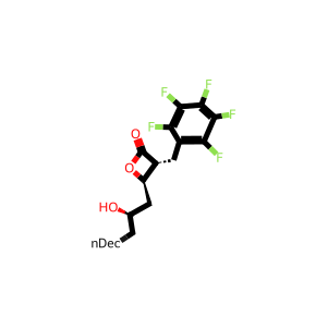 CCCCCCCCCCC[C@@H](O)C[C@H]1OC(=O)[C@@H]1Cc1c(F)c(F)c(F)c(F)c1F